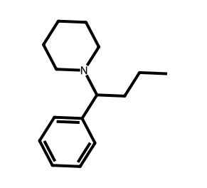 CCCC(c1ccccc1)N1CCCCC1